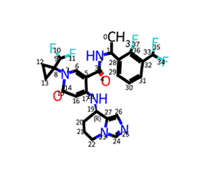 CC(NC(=O)c1cn(C2(C(F)F)CC2)c(=O)cc1N[C@@H]1CCCn2cncc21)c1cccc(C(F)F)c1F